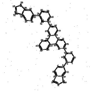 c1cc(-c2ccc3ncsc3c2)nc(-c2ccc3c4ccc(-c5cccc(-c6ccc7ncsc7c6)n5)cc4c4ccccc4c3c2)c1